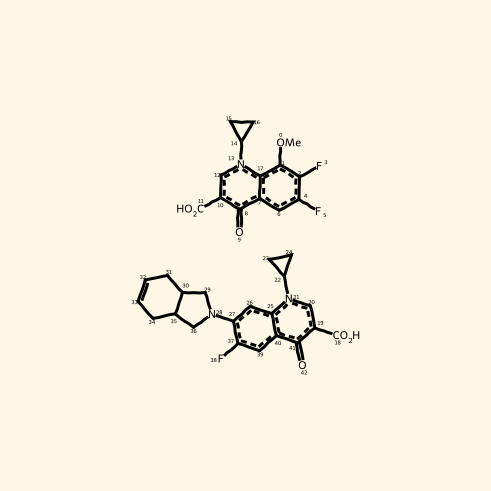 COc1c(F)c(F)cc2c(=O)c(C(=O)O)cn(C3CC3)c12.O=C(O)c1cn(C2CC2)c2cc(N3CC4CC=CCC4C3)c(F)cc2c1=O